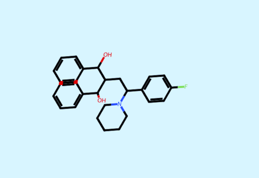 OC(c1ccccc1)C(CC(c1ccc(F)cc1)N1CCCCC1)C(O)c1ccccc1